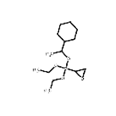 CCO[Si](OCC)(OC(C)C1CCCCC1)C1CO1